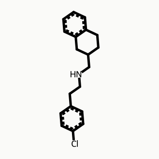 Clc1ccc(CCNCC2CCc3ccccc3C2)cc1